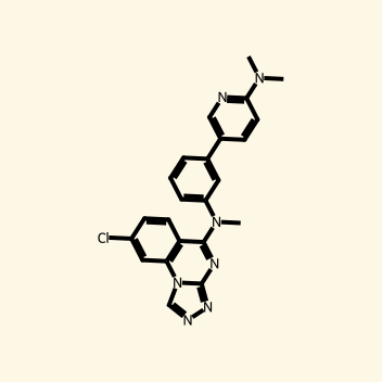 CN(C)c1ccc(-c2cccc(N(C)c3nc4nncn4c4cc(Cl)ccc34)c2)cn1